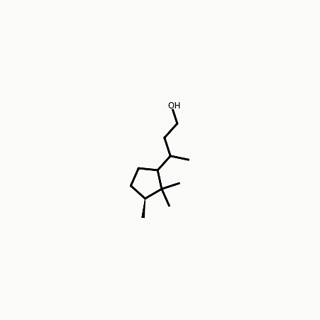 CC(CCO)C1CC[C@H](C)C1(C)C